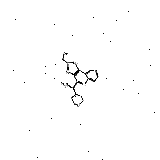 NC(c1nc2ccccc2c2[nH]c(CO)nc12)C1CCOCC1